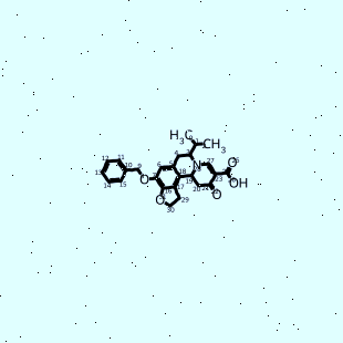 CC(C)C1Cc2cc(OCc3ccccc3)c3c(c2C2CC(=O)C(C(=O)O)=CN21)CCO3